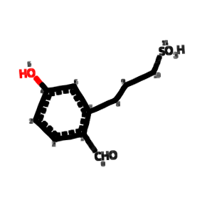 O=Cc1ccc(O)cc1CCCS(=O)(=O)O